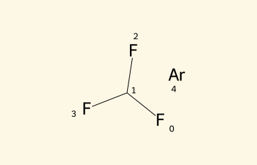 FC(F)F.[Ar]